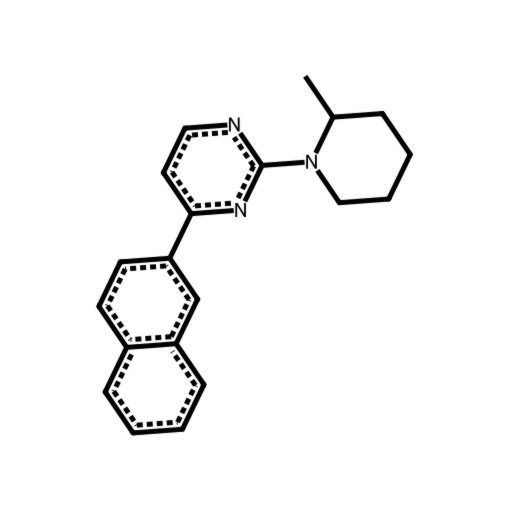 CC1CCCCN1c1nccc(-c2ccc3ccccc3c2)n1